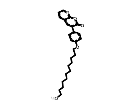 O=c1oc2ncccc2cc1-c1ccc(OCCCCCCCCCCCCO)cc1